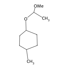 COC(C)OC1CCC(C)CC1